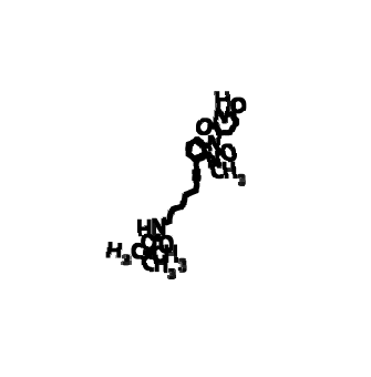 Cn1c(=O)n(C2CCC(=O)NC2=O)c2cccc(C#CCCCCCNC(=O)OC(C)(C)C)c21